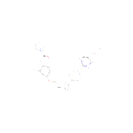 COCc1cnc(N2CCC([C@H]3C[C@H]3CCOc3ccc(CC(=O)N4CCCC4)c(F)c3)CC2)nc1